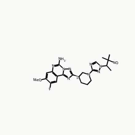 COc1cc2nc(N)n3nc([C@@H]4CCCN(c5ncn(C(C)C(C)(C)N=O)n5)C4)nc3c2cc1F